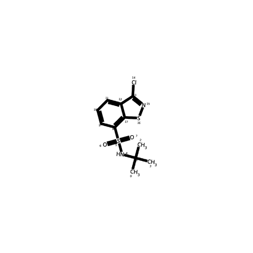 CC(C)(C)NS(=O)(=O)c1cccc2c(Cl)nsc12